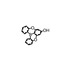 Oc1cc2c3c(c1)Oc1ccccc1B3c1ccccc1O2